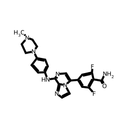 CN1CCN(c2ccc(Nc3ncc(-c4cc(F)c(C(N)=O)c(F)c4)n4ccnc34)cc2)CC1